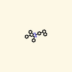 c1ccc(-c2cc3c(-c4ccccc4)nc(-c4ccc(-c5cccc6ccccc56)cc4)nc3c3ccccc23)cc1